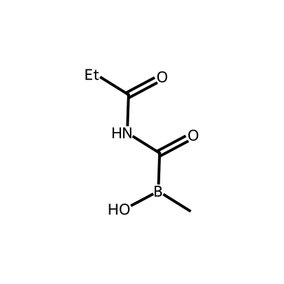 CCC(=O)NC(=O)B(C)O